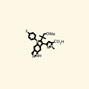 COCC(C)(C)c1c(-c2cc(C(=O)O)n(C)n2)c2cc3[nH]ncc3cc2n1-c1ccc(F)cc1